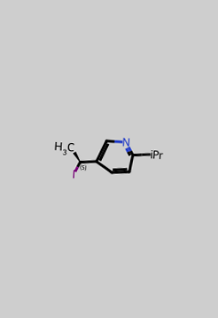 CC(C)c1ccc([C@H](C)I)cn1